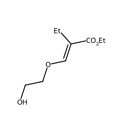 CCOC(=O)C(=COCCO)CC